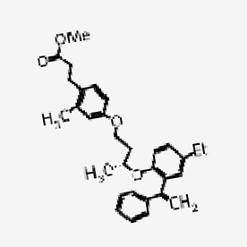 C=C(c1ccccc1)c1cc(CC)ccc1O[C@H](C)CCOc1ccc(CCC(=O)OC)c(C)c1